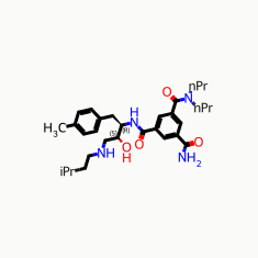 CCCN(CCC)C(=O)c1cc(C(N)=O)cc(C(=O)N[C@H](Cc2ccc(C)cc2)[C@@H](O)CNCCC(C)C)c1